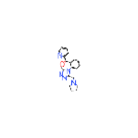 Cc1nnc(CN2CCCC2)n1-c1ccccc1C(=O)c1ccccn1